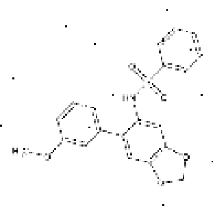 COc1cccc(-c2cc3c(cc2NS(=O)(=O)c2ccccc2)OCO3)c1